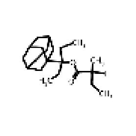 CCC(C)(I)C(=O)OC(CC)(CC)C12CC3CC(CC(C3)C1)C2